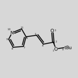 CC(C)(C)OC(=O)/C=C/c1cccnc1